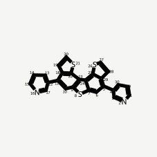 c1cncc(-c2cc3sc4cc(-c5cccnc5)c5ccsc5c4c3c3sccc23)c1